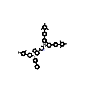 Cc1cc(C)c(-c2ccc(-c3ccc4c(c3)C3CC(c5ccc(-c6c(C)cc(C)cc6C)cc5)CCC3N4C(C)/C=C\C(C)C3=CC=C(N(c4ccc(-c5ccccc5)cc4)C4CCC(c5ccc(F)cc5C)CC4)C4CCCC34)cc2)c(C)c1